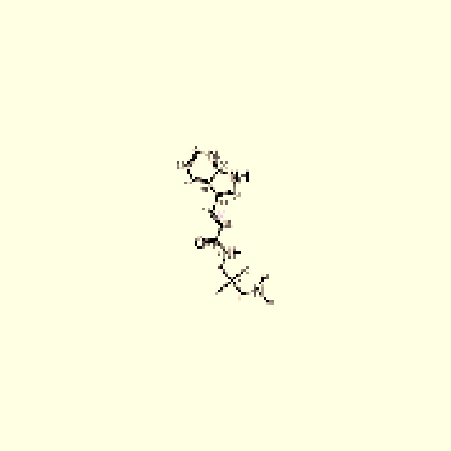 CN(C)CC(C)(C)CNC(=O)/C=C/c1c[nH]c2ncccc12